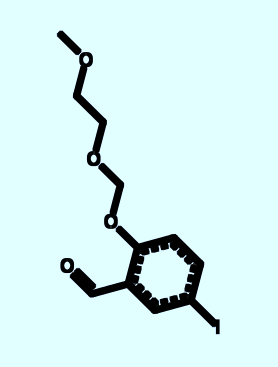 COCCOCOc1ccc(I)cc1C=O